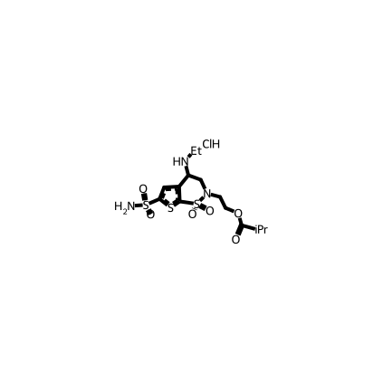 CCNC1CN(CCOC(=O)C(C)C)S(=O)(=O)c2sc(S(N)(=O)=O)cc21.Cl